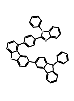 c1ccc(-n2c(-c3ccc(-c4cccc5oc6ccc(-c7ccc8c(c7)c7ccccc7n8-c7ccccc7)cc6c45)cc3)nc3ccccc32)cc1